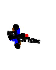 CCCCCCCCCCCCOc1ccc(-c2[nH]/c(=C(/C#N)c3nc4ccccc4s3)c3c(-c4ccccc4)[nH]/c(=C(/C#N)c4nc5ccccc5s4)c23)cc1